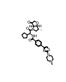 C[C@@H]1CN(C(=O)[C@@H](NC(=O)c2ccc(-c3csc(N4CCN(C)CC4)n3)cc2)C2CCCC2)[C@@H]2C(=O)CO[C@H]12